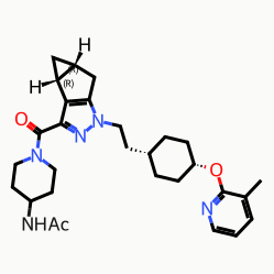 CC(=O)NC1CCN(C(=O)c2nn(CC[C@H]3CC[C@@H](Oc4ncccc4C)CC3)c3c2[C@@H]2C[C@@H]2C3)CC1